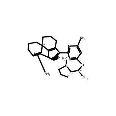 C[C@H](Oc1cc(N)nc(-c2noc3c2CCC[C@@]32CCCc3sc(N)c(C#N)c32)n1)[C@@H]1CCCN1C